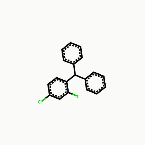 Clc1ccc(C(c2cc[c]cc2)c2cc[c]cc2)c(Cl)c1